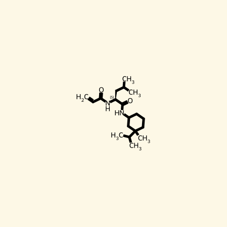 C=CC(=O)N[C@@H](CC(C)C)C(=O)NC1CCCC(C)(C(C)C)C1